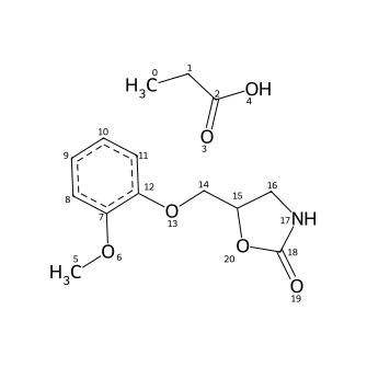 CCC(=O)O.COc1ccccc1OCC1CNC(=O)O1